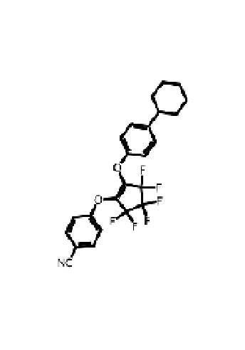 N#Cc1ccc(OC2=C(Oc3ccc(C4CCCCC4)cc3)C(F)(F)C(F)(F)C2(F)F)cc1